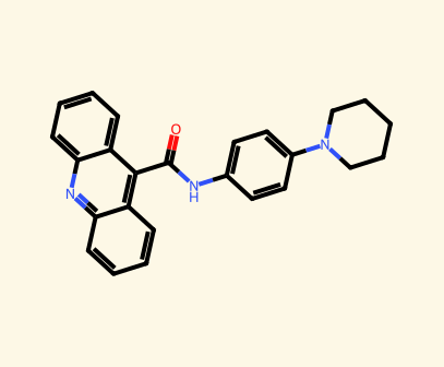 O=C(Nc1ccc(N2CCCCC2)cc1)c1c2ccccc2nc2ccccc12